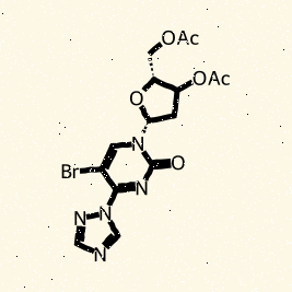 CC(=O)OC[C@H]1O[C@@H](n2cc(Br)c(-n3cncn3)nc2=O)CC1OC(C)=O